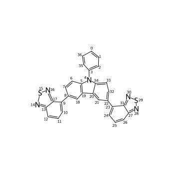 c1ccc(-n2c3ccc(-c4cccc5nsnc45)cc3c3cc(-c4cccc5nsnc45)ccc32)cc1